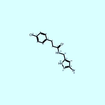 O=C(CCc1ccc(Cl)cc1)NCc1cc(Br)n[nH]1